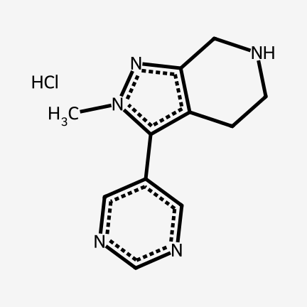 Cl.Cn1nc2c(c1-c1cncnc1)CCNC2